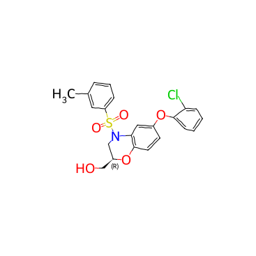 Cc1cccc(S(=O)(=O)N2C[C@H](CO)Oc3ccc(Oc4ccccc4Cl)cc32)c1